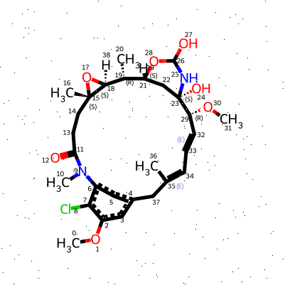 COc1cc2cc(c1Cl)N(C)C(=O)CC[C@]1(C)O[C@H]1[C@H](C)[C@@H]1C[C@@](O)(NC(O)O1)[C@H](OC)/C=C/C=C(\C)C2